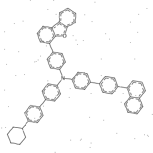 c1ccc2c(-c3ccc(-c4ccc(N(c5ccc(-c6ccc(C7CCCCC7)cc6)cc5)c5ccc(-c6cccc7c6oc6ccccc67)cc5)cc4)cc3)cccc2c1